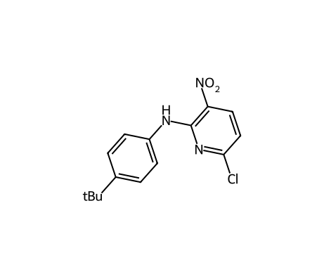 CC(C)(C)c1ccc(Nc2nc(Cl)ccc2[N+](=O)[O-])cc1